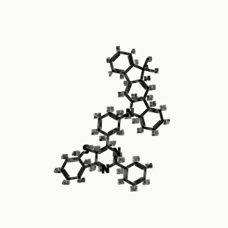 CC1(C)c2ccccc2-c2cc3c(cc21)c1ccccc1n3-c1cccc(-c2nc(-c3ccccc3)nc3c2sc2ccccc23)c1